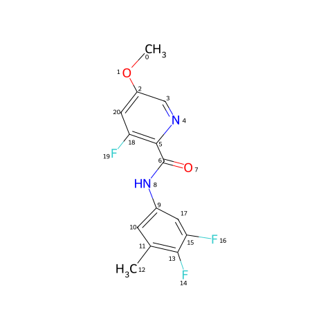 COc1cnc(C(=O)Nc2cc(C)c(F)c(F)c2)c(F)c1